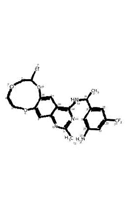 CCC1COCCOc2cc3nc(C)nc(NC(C)c4cc(N)cc(C(F)(F)F)c4)c3cc2O1